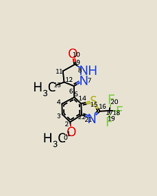 COc1ccc(C2=NNC(=O)CC2C)c2sc(C(F)(F)F)nc12